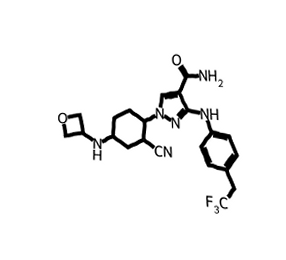 N#CC1CC(NC2COC2)CCC1n1cc(C(N)=O)c(Nc2ccc(CC(F)(F)F)cc2)n1